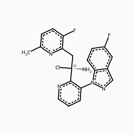 Cc1ccc(F)c(C[C@](N)(Cl)c2ncccc2-n2ncc3cc(F)ccc32)n1